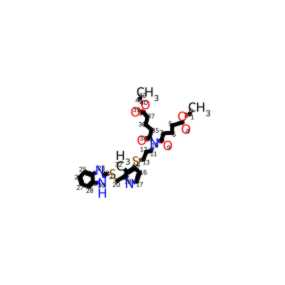 CCOC(=O)CCCC(=O)N(CCCSc1ccnc(CSc2nc3ccccc3[nH]2)c1C)C(=O)CCCC(=O)OCC